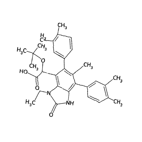 CCn1c(=O)[nH]c2c(-c3ccc(C)c(C)c3)c(C)c(-c3ccc(C)c(C)c3)c(C(OC(C)(C)C)C(=O)O)c21